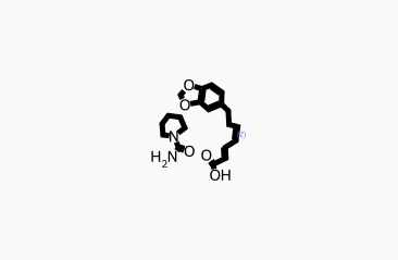 NC(=O)N1CCCCC1.O=C(O)C=C/C=C\CCc1ccc2c(c1)OCO2